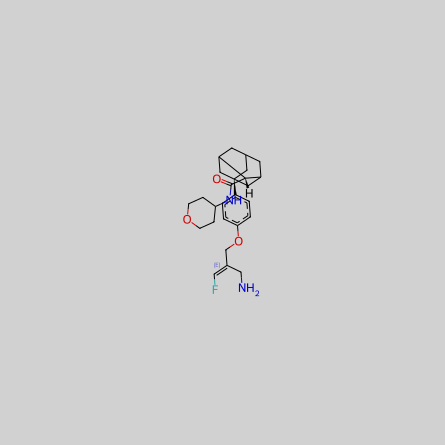 NC/C(=C\F)COc1ccc([C@]23CC4CC(C2)[C@@H](C(=O)NC2CCOCC2)C(C4)C3)cc1